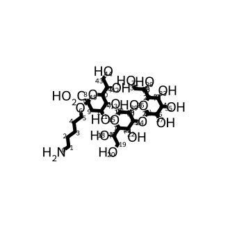 NCCCCCO[C@]1(C(=O)O)CC(O)[C@@H](O[C@H]2OC([C@@H](O)CO)[C@@H](O)C(O[C@H]3OC([C@@H](O)CO)[C@@H](O)C(O)C3O)[C@H]2O)C([C@H](O)CO)O1